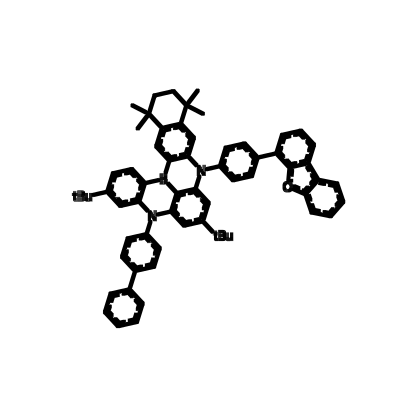 CC(C)(C)c1ccc2c(c1)N(c1ccc(-c3ccccc3)cc1)c1cc(C(C)(C)C)cc3c1B2c1cc2c(cc1N3c1ccc(-c3cccc4c3oc3ccccc34)cc1)C(C)(C)CCC2(C)C